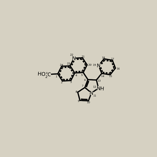 O=C(O)c1ccc2c(C3=C4CC=CN4NC3c3ccccn3)ccnc2c1